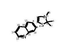 CN1C=CSC1(C)C.c1ccc2ncccc2c1